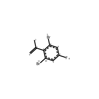 C=C(C)c1c(Br)cc(F)cc1Br